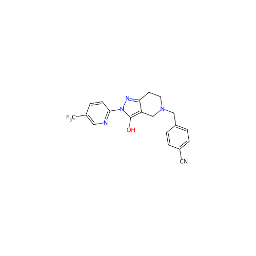 N#Cc1ccc(CN2CCc3nn(-c4ccc(C(F)(F)F)cn4)c(O)c3C2)cc1